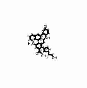 Cc1cc(CCNc2ccc(Cl)nc2-c2ccc3ncccc3c2)c2c(c1)c(=O)n(C)c1c2cnn1CCO